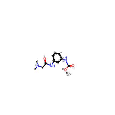 CN(C)CC(=O)Nc1cccc(NC(=O)OC(C)(C)C)c1